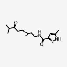 Cc1cc(C(=O)NCCOCCC(=O)C(C)C)n[nH]1